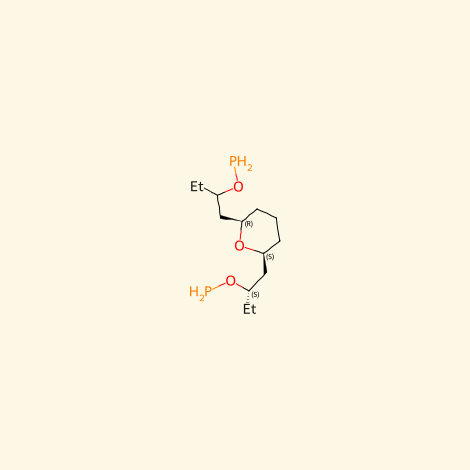 CCC(C[C@H]1CCC[C@@H](C[C@H](CC)OP)O1)OP